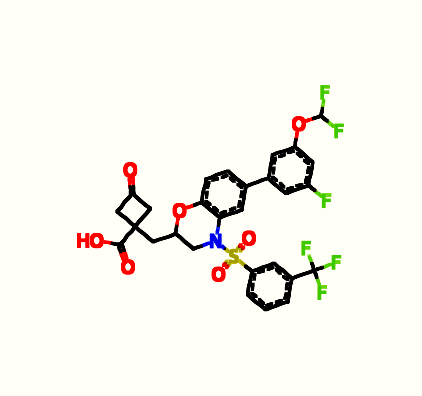 O=C1CC(CC2CN(S(=O)(=O)c3cccc(C(F)(F)F)c3)c3cc(-c4cc(F)cc(OC(F)F)c4)ccc3O2)(C(=O)O)C1